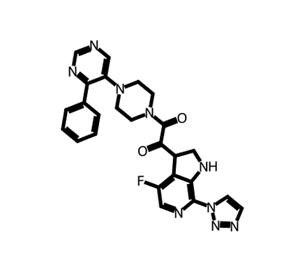 O=C(C(=O)N1CCN(c2cncnc2-c2ccccc2)CC1)C1CNc2c(-n3ccnn3)ncc(F)c21